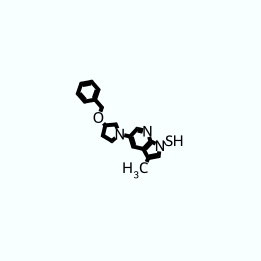 Cc1cn(S)c2ncc(N3CCC(OCc4ccccc4)C3)cc12